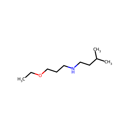 CCOCCCNCCC(C)C